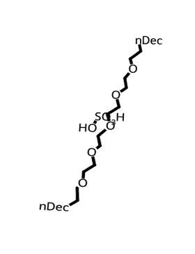 CCCCCCCCCCCCOCCOCCOCCOCCOCCCCCCCCCCCC.O=S(=O)(O)O